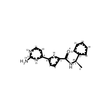 C[C@@H](NC(=O)c1ccc(-c2ccnc(N)n2)s1)c1ccccc1